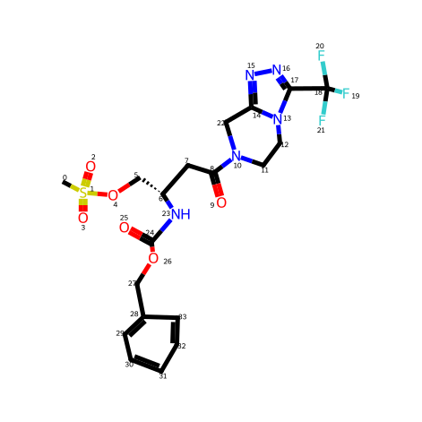 CS(=O)(=O)OC[C@H](CC(=O)N1CCn2c(nnc2C(F)(F)F)C1)NC(=O)OCc1ccccc1